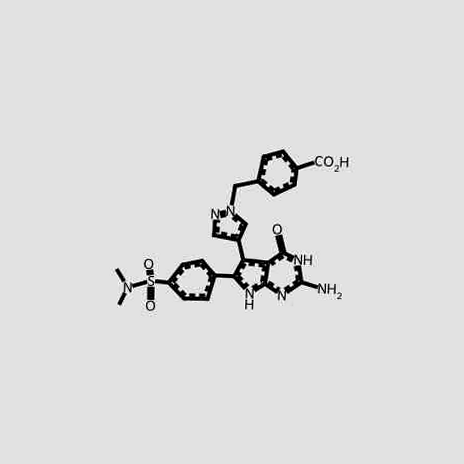 CN(C)S(=O)(=O)c1ccc(-c2[nH]c3nc(N)[nH]c(=O)c3c2-c2cnn(Cc3ccc(C(=O)O)cc3)c2)cc1